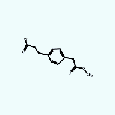 COC(=O)Cc1ccc(CCC(=O)O)cc1